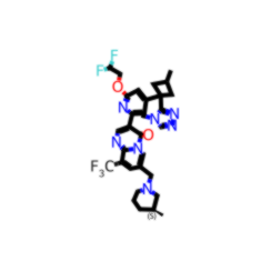 CC1CC(c2cc(OCC(F)F)nc(-c3cnc4c(C(F)(F)F)cc(CN5CCC[C@H](C)C5)cn4c3=O)c2)(c2nncn2C)C1